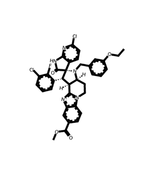 CCOc1cccc(CN2[C@H]3CCn4c(nc5cc(C(=O)OC)ccc54)[C@H]3[C@H](c3cccc(Cl)c3F)[C@]23C(=O)Nc2nc(Cl)ccc23)c1